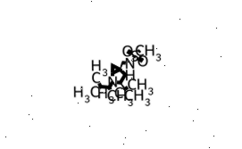 CC(C)C(C)N1C2C[C@]2(CNS(C)(=O)=O)C[C@H]1C(C)(C)C